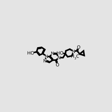 CC1(C(=O)N2CCC(O)(Cn3cnc4c(cnn4-c4cccc(O)c4)c3=O)CC2)CC1